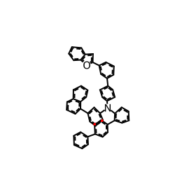 c1ccc(-c2ccc(-c3ccccc3N(c3ccc(-c4cccc(-c5cc6ccccc6o5)c4)cc3)c3cccc(-c4cccc5ccccc45)c3)cc2)cc1